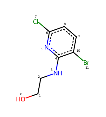 OCCNc1nc(Cl)ccc1Br